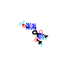 Cn1nc(OC(F)F)cc1Nc1nncn1[C@H]1CCc2sc(NC(=O)C3CC(F)C3)c(C(=O)NC[C@H]3CC3(F)F)c2C1